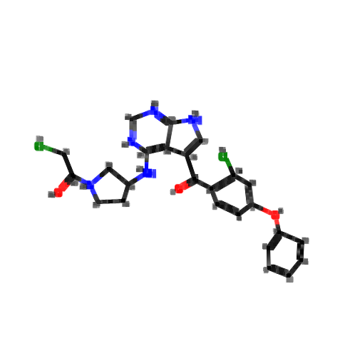 O=C(c1ccc(Oc2ccccc2)cc1Cl)c1c[nH]c2ncnc(NC3CCN(C(=O)CCl)C3)c12